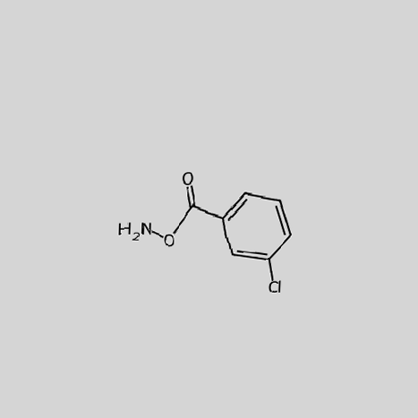 NOC(=O)c1cccc(Cl)c1